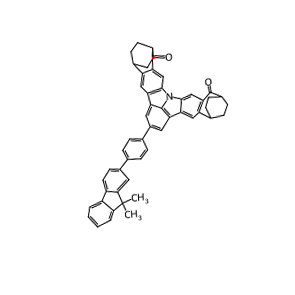 CC1(C)c2ccccc2-c2ccc(-c3ccc(-c4cc5c6cc7c(cc6n6c8cc9c(cc8c(c4)c56)C4CCC(CC4)C9=O)C(=O)C4CCC7CC4)cc3)cc21